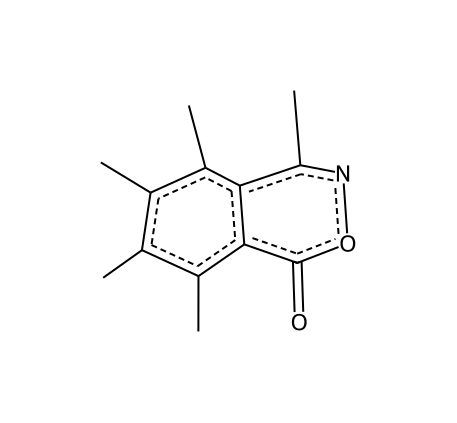 Cc1c(C)c(C)c2c(=O)onc(C)c2c1C